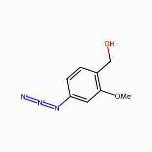 COc1cc(N=[N+]=[N-])ccc1CO